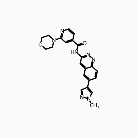 Cn1cc(-c2ccc3nnc(NC(=O)c4ccnc(N5CCOCC5)c4)cc3c2)cn1